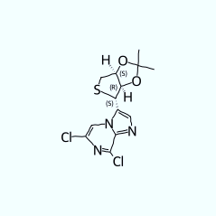 CC1(C)O[C@@H]2[C@@H](CS[C@H]2c2cnc3c(Cl)nc(Cl)cn23)O1